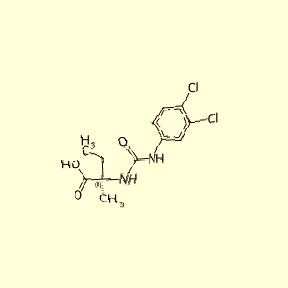 CC[C@@](C)(NC(=O)Nc1ccc(Cl)c(Cl)c1)C(=O)O